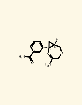 NC(=O)c1cccc([C@]23C[C@@H]2COCC(N)=N3)c1